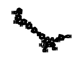 C#Cc1ccc(CNC(=O)[C@@H]2C[C@@H](O)CN2C(=O)[C@@H](NC(=O)C2CCC3(CC2)CC(N2CCN(c4cnc(N5CCN6c7cc(-c8ccccc8O)nnc7NC[C@H]6C5)nc4)CC2)C3)C(C)(C)CCO)cc1